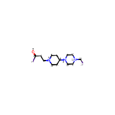 O=C(I)CCN1CCC(N2CCN(CI)CC2)CC1